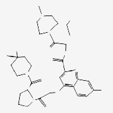 CCOC(=O)N1CCN(C(=O)[C@H](CCC(=O)O)NC(=O)c2cc(OCC(=O)N3CCC[C@H]3C(=O)N3CCC(F)(F)CC3)c3ccc(C)cc3n2)CC1